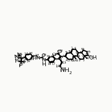 CC12CCC3C(CCC4CC(c5c(CCN)c6ccc(NC(=O)NCc7ccc(C8(C(F)(F)F)N=N8)cc7)cc6oc5=O)CCC43C)C1CCC2O